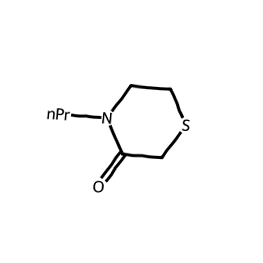 [CH2]CCN1CCSCC1=O